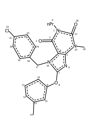 CCCn1c(=O)c2c(nc(Oc3cccc(C)c3)n2Cc2ccc(Cl)cc2)n(C)c1=O